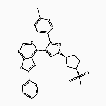 CS(=O)(=O)[C@@H]1CC[C@H](n2cc(-c3ncnc4oc(-c5ccccc5)cc34)c(-c3ccc(F)cc3)n2)C1